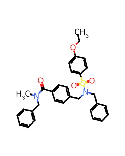 CCOc1ccc(S(=O)(=O)N(Cc2ccccc2)Cc2ccc(C(=O)N(C)Cc3ccccc3)cc2)cc1